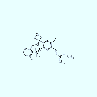 CCN(C)C=Nc1cc(C)c(C2(OCc3cccc(F)c3C)COC2)cc1F